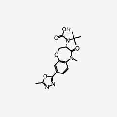 Cc1nnc(-c2ccc3c(c2)OC[C@H](N(C(=O)O)C(C)(C)C)C(=O)N3C)o1